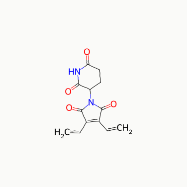 C=CC1=C(C=C)C(=O)N(C2CCC(=O)NC2=O)C1=O